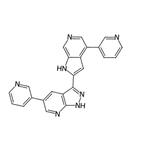 c1cncc(-c2cnc3[nH]nc(-c4cc5c(-c6cccnc6)cncc5[nH]4)c3c2)c1